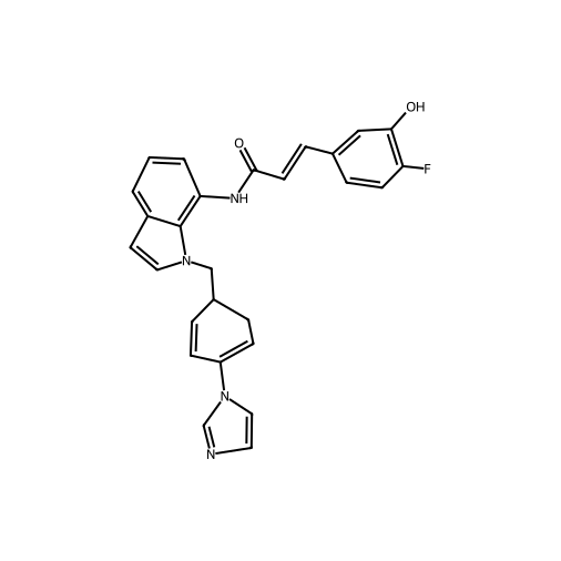 O=C(/C=C/c1ccc(F)c(O)c1)Nc1cccc2ccn(CC3C=CC(n4ccnc4)=CC3)c12